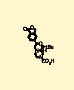 CC(C)(C)[C@H]1O[C@H](c2ccc3c(c2)COC3=O)CN2CCN(C(=O)O)C[C@@H]12